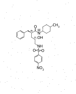 CC1CCC(NC(=O)[C@H](Cc2ccccc2)C[C@H](O)CNS(=O)(=O)c2ccc([N+](=O)[O-])cc2)CC1